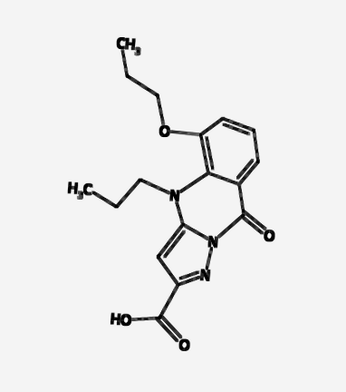 CCCOc1cccc2c(=O)n3nc(C(=O)O)cc3n(CCC)c12